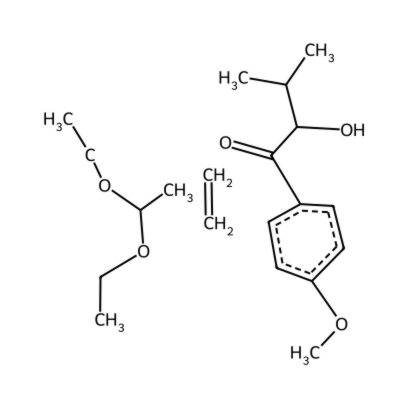 C=C.CCOC(C)OCC.COc1ccc(C(=O)C(O)C(C)C)cc1